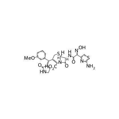 COc1cccc(C(=C2CCNC2=O)C2=C(C(=O)O)N3C(=O)[C@@H](NC(=O)C(=NO)c4csc(N)n4)[C@H]3SC2)c1